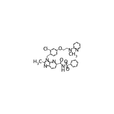 Cc1nc2ccc(C(=O)NS(=O)(=O)c3ccccc3)nc2n1Cc1ccc(OCCN(C)c2ccccn2)cc1Cl